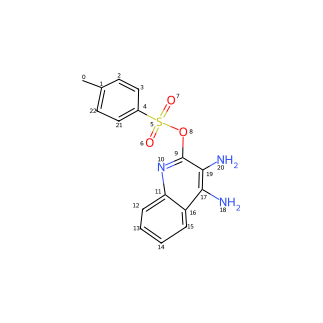 Cc1ccc(S(=O)(=O)Oc2nc3ccccc3c(N)c2N)cc1